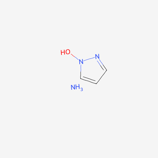 N.On1cccn1